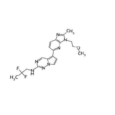 COCCn1c(C)nc2ccc(-c3ccn4nc(NCC(C)(F)F)ncc34)nc21